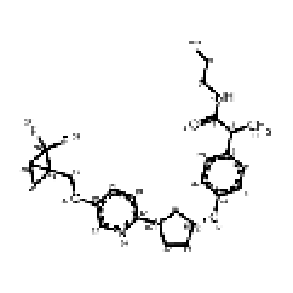 CC(C(=O)NCCF)c1ccc(O[C@@H]2CCN(c3ccc(OCC45CC4C5(F)F)cn3)C2)cc1